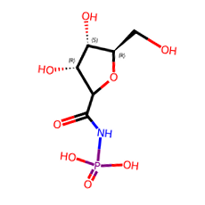 O=C(NP(=O)(O)O)C1O[C@H](CO)[C@@H](O)[C@H]1O